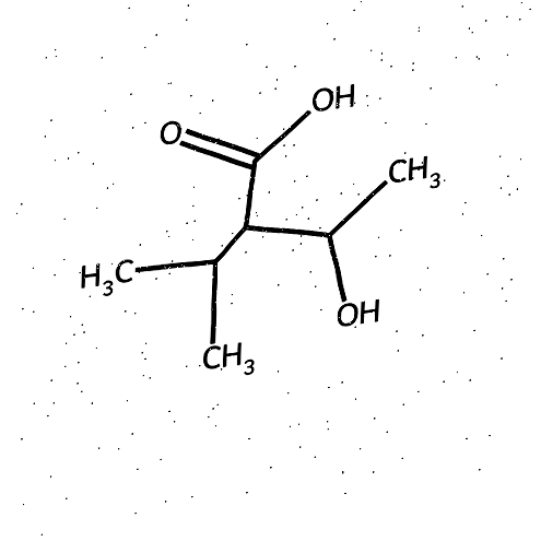 CC(C)C(C(=O)O)C(C)O